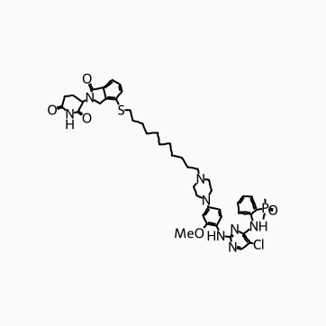 COc1cc(N2CCN(CCCCCCCCCCCSc3cccc4c3CN(C3CCC(=O)NC3=O)C4=O)CC2)ccc1Nc1ncc(Cl)c(Nc2ccccc2P(C)(C)=O)n1